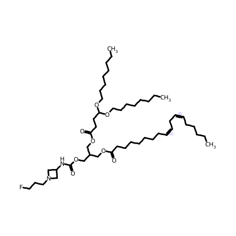 CCCCC/C=C\C/C=C\CCCCCCCC(=O)OCC(COC(=O)CCC(OCCCCCCCC)OCCCCCCCC)COC(=O)NC1CN(CCCF)C1